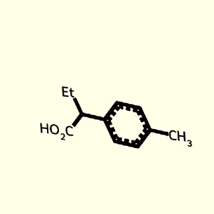 CCC(C(=O)O)c1ccc(C)cc1